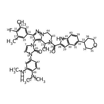 CNc1cc(-n2ccn(-c3c(-c4cc(C)c(F)c(C)c4)nn4c3C(C)N(C(=O)c3cc5cc(C6CCOCC6)ccc5[nH]3)CC4)c2=O)ccc1P(C)C